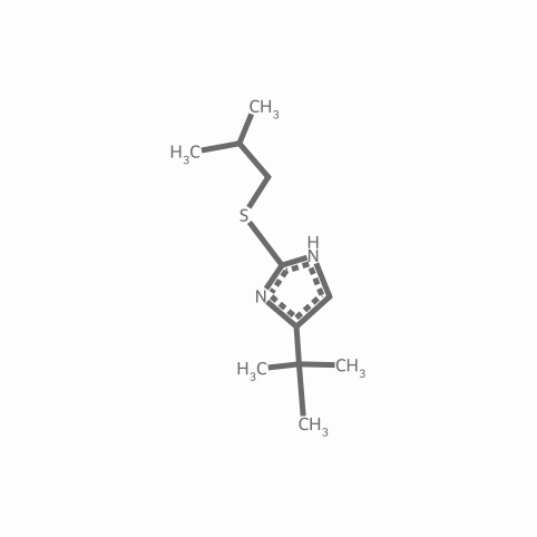 CC(C)CSc1nc(C(C)(C)C)c[nH]1